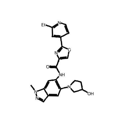 CCc1cc(-c2nc(C(=O)Nc3cc4c(cnn4C)cc3N3CCC(O)C3)co2)ccn1